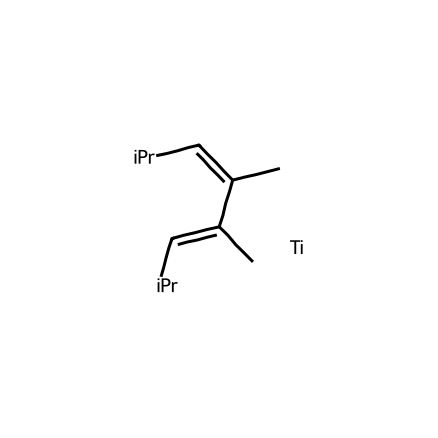 CC(=CC(C)C)C(C)=CC(C)C.[Ti]